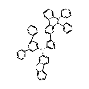 c1ccc(-c2cc(-c3ccccc3)cc(N(c3cccc(-c4ccc5c(c4)c(-c4ccccc4)c(-c4ccccc4)c4ccccc45)c3)c3ccc4c(c3)sc3ccccc34)c2)cc1